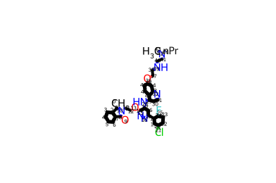 C=C1c2ccccc2C(=O)N1CCOc1nnc(-c2cc(Cl)ccc2F)cc1Nc1ccnc2cc(OCCNCCN(C)CCC)ccc12